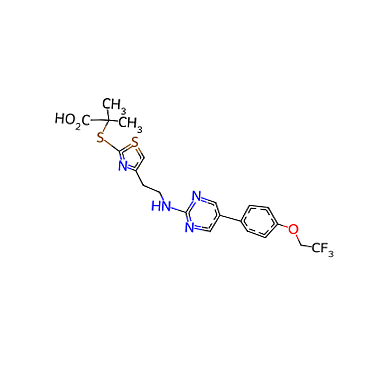 CC(C)(Sc1nc(CCNc2ncc(-c3ccc(OCC(F)(F)F)cc3)cn2)cs1)C(=O)O